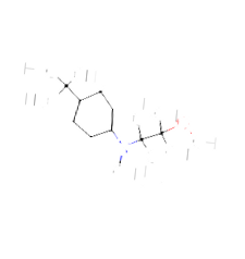 COC(C)(C)C(C)(C)N(C)C1CCC(C(C)(C)C)CC1